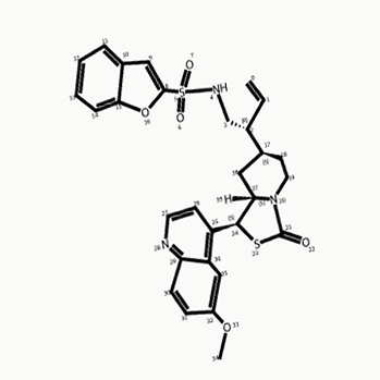 C=C[C@@H](CNS(=O)(=O)c1cc2ccccc2o1)[C@H]1CCN2C(=O)S[C@@H](c3ccnc4ccc(OC)cc34)[C@@H]2C1